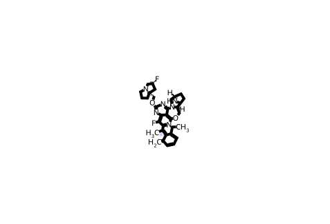 C=c1cccc(CC)/c1=C(/C)c1nc2c3c(nc(OC[C@]45CCCN4C[C@H](F)C5)nc3c1F)N1C[C@@H]3CCC(N3)[C@H]1CO2